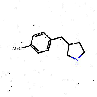 COc1ccc(CC2CCNC2)cc1